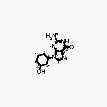 Nc1nc2c(ncn2C2CCCC(O)C2)c(=O)[nH]1